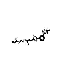 C=CC(=O)OCCOC(=O)CCC1=NC(c2cccc(-c3noc(C)n3)c2)NO1